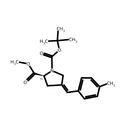 COC(=O)[C@@H]1CC(=Cc2ccc(C)cc2)CN1C(=O)OC(C)(C)C